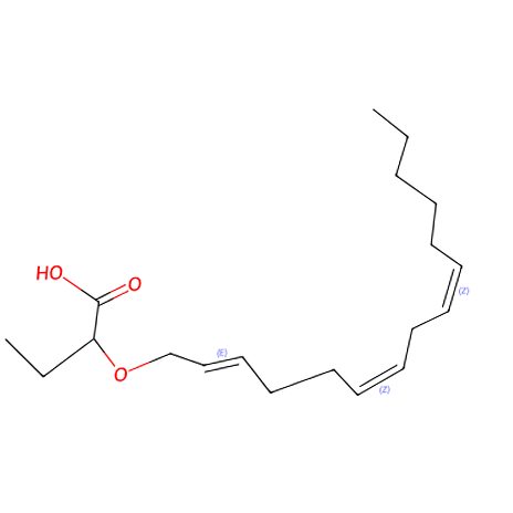 CCCCC/C=C\C/C=C\CC/C=C/COC(CC)C(=O)O